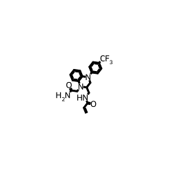 C=CC(=O)NCC1CN(c2ccc(C(F)(F)F)cc2)c2ccccc2N1CC(N)=O